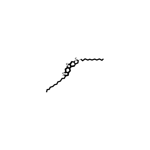 CCCCCCCCCCCc1cc2cc3c4c(sc3cc2s1)=CC1S[C@H](CCCCCCCCCCC)CC1C=4